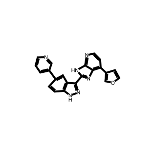 c1cncc(-c2ccc3[nH]nc(-c4nc5c(-c6ccoc6)ccnc5[nH]4)c3c2)c1